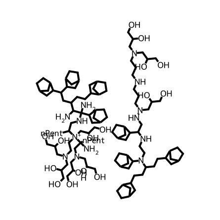 CCCCCC(CNC(N)(C(N)C(CCC1CC2CCC1C2)CC(C1CC2CCC1C2)C1CC2CCC1C2)C1CC2CCC1C2)[N+](CCN(CC(O)CO)CC(O)CO)(CC(O)CO)C(N)(CCCCC)CN(CC(O)CO)CC(O)CO.OCC(O)CN(CCCNCCCN(CC(O)CO)NCC(NCCN(C(CCC1CC2CCC1C2)CCC1CC2CCC1C2)C1CC2CCC1C2)C1CC2CCC1C2)CC(O)CO